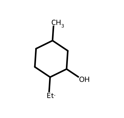 C[CH]C1CCC(C)CC1O